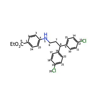 CCOC(=O)c1ccc(NCCC(c2ccc(Cl)cc2)c2ccc(Cl)cc2)cc1